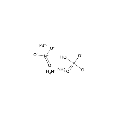 O=P([O-])([O-])O.O=[N+]([O-])[O-].[NH4+].[NH4+].[Pd+]